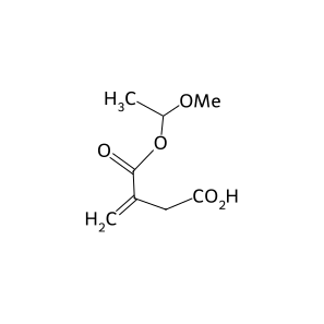 C=C(CC(=O)O)C(=O)OC(C)OC